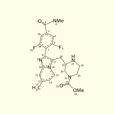 CNC(=O)c1cc(F)c(-c2nc3cc(C)ccn3c2CC2CN(C(=O)OC)CCN2)c(F)c1